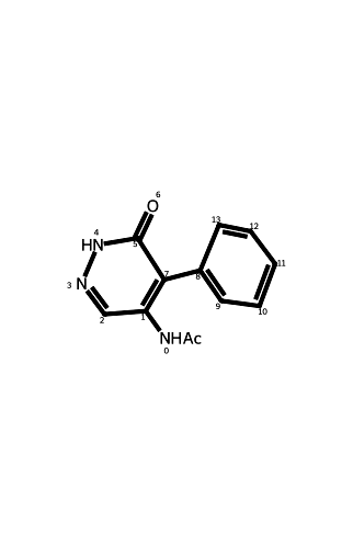 CC(=O)Nc1cn[nH]c(=O)c1-c1ccccc1